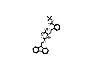 CC(C)(C)OC(=O)c1ccccc1CC[C@@H](NC(=O)OCC1c2ccccc2-c2ccccc21)C(=O)O